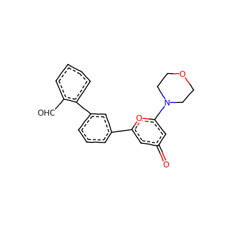 O=Cc1ccccc1-c1cccc(-c2cc(=O)cc(N3CCOCC3)o2)c1